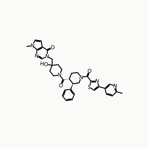 Cc1ccc(-c2csc(C(=O)N3CC[C@@H](C(=O)N4CCC(O)(Cn5cnc6c(ccn6C)c5=O)CC4)[C@H](c4ccccc4)C3)n2)cn1